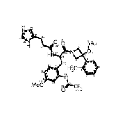 CCCCOC1(c2ccccc2C)CN(C(=O)C(Cc2ccc(OC)cc2OC(=O)C(F)(F)F)NC(=O)CCc2cnc[nH]2)C1